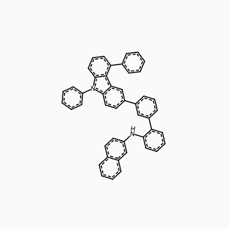 c1ccc(-c2cccc3c2c2cc(-c4cccc(-c5ccccc5Nc5ccc6ccccc6c5)c4)ccc2n3-c2ccccc2)cc1